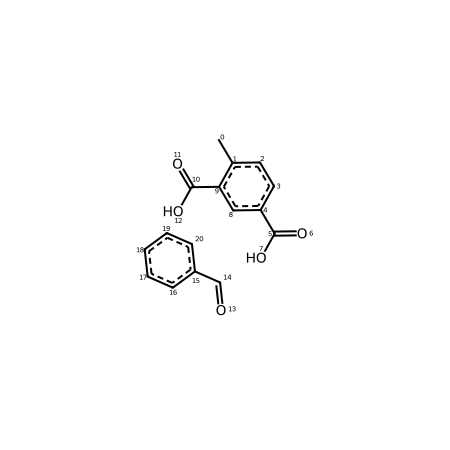 Cc1ccc(C(=O)O)cc1C(=O)O.O=Cc1ccccc1